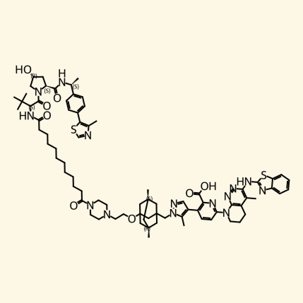 Cc1ncsc1-c1ccc([C@H](C)NC(=O)[C@@H]2C[C@@H](O)CN2C(=O)[C@@H](NC(=O)CCCCCCCCCCC(=O)N2CCN(CCOC34CC5(Cn6ncc(-c7ccc(N8CCCc9c8nnc(Nc8nc%10ccccc%10s8)c9C)nc7C(=O)O)c6C)C[C@@](C)(C3)C[C@](C)(C5)C4)CC2)C(C)(C)C)cc1